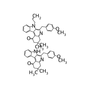 C=CCn1c2ccccc2c2c3c(nc(Cc4ccc(OC)cc4)c21)CC(C)(C)CC3=O.COc1ccc(Cc2nc3c(c4c2[nH]c2ccccc24)C(=O)CC(C)(C)C3)cc1